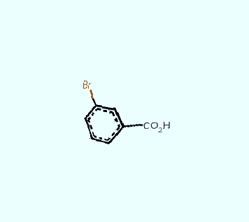 O=C(O)c1c[c]cc(Br)c1